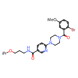 COc1ccc(Br)c(C(=O)N2CCN(c3ccc(C(=O)NCCCOC(C)C)cn3)CC2)c1